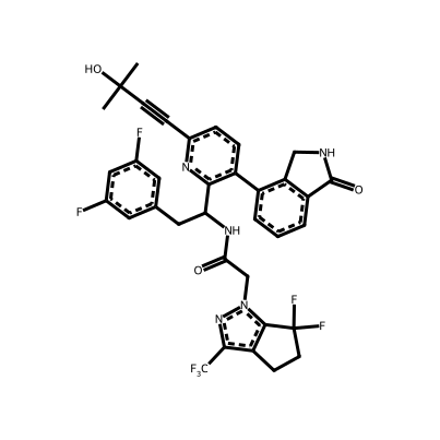 CC(C)(O)C#Cc1ccc(-c2cccc3c2CNC3=O)c(C(Cc2cc(F)cc(F)c2)NC(=O)Cn2nc(C(F)(F)F)c3c2C(F)(F)CC3)n1